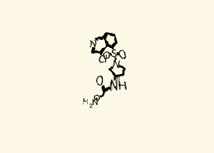 NOCC(=O)N[C@@H]1CCN(S(=O)(=O)c2cccc3cncc(Cl)c23)C1